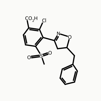 CS(=O)(=O)c1ccc(C(=O)O)c(Cl)c1C1=NOC(Cc2ccccc2)C1